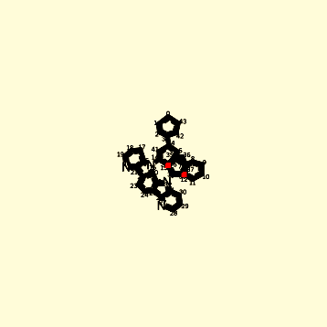 c1ccc(-c2cc(-c3ccccc3)cc(-n3c4cccnc4c4ccc5c6ncccc6n(-c6ccccc6)c5c43)c2)cc1